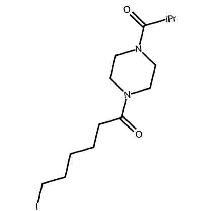 CC(C)C(=O)N1CCN(C(=O)CCCCCI)CC1